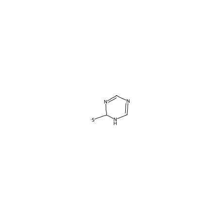 [S]C1N=CN=CN1